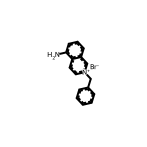 Nc1cccc2c[n+](Cc3ccccc3)ccc12.[Br-]